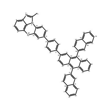 Cc1nc2cccc3c2n1-c1ccc(-c2ccc(-c4ccc5c(-c6ccc7ccccc7c6)c6ccccc6c(-c6ccc7ccccc7c6)c5c4)cc2)cc1O3